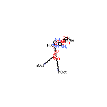 CCCCCCCC/C=C/CCCCCCCC(=O)OCC(COC(=O)CCC(=O)NC(C)C1CCC(N)C(OC2C(N)CC(N)C(OC3OCC(C)(O)C(NC)C3O)C2O)O1)OC(=O)CCCCCCC/C=C/CCCCCCCC